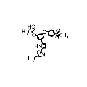 CC(CO)Oc1cc(Oc2ccc(S(C)(=O)=O)cc2)cc(-c2ccc(C3=NC[C@H](C)O3)[nH]2)c1